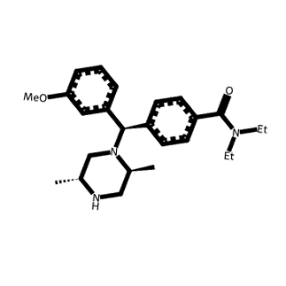 CCN(CC)C(=O)c1ccc([C@H](c2cccc(OC)c2)N2C[C@@H](C)NC[C@@H]2C)cc1